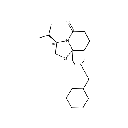 CC(C)[C@@H]1COC23CCN(CC4CCCCC4)CC2CCC(=O)N13